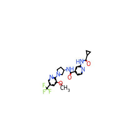 COc1cc(C(F)(F)F)cnc1N1CC[C@@H](NC(=O)c2ccnc(NC(=O)C3CC3)c2)C1